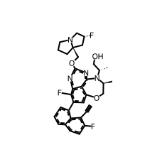 C#Cc1c(F)ccc2cccc(-c3cc4c5c(nc(OC[C@@]67CCCN6C[C@H](F)C7)nc5c3F)N([C@@H](C)CO)[C@@H](C)CO4)c12